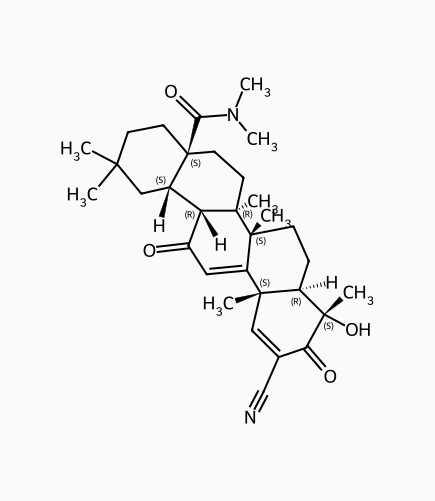 CN(C)C(=O)[C@]12CCC(C)(C)C[C@H]1[C@H]1C(=O)C=C3[C@@]4(C)C=C(C#N)C(=O)[C@@](C)(O)[C@@H]4CC[C@@]3(C)[C@]1(C)CC2